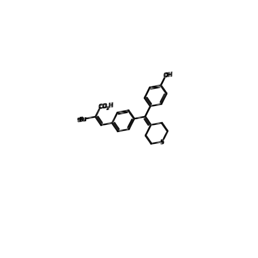 CC(C)(C)C(=Cc1ccc(C(=C2CCSCC2)c2ccc(O)cc2)cc1)C(=O)O